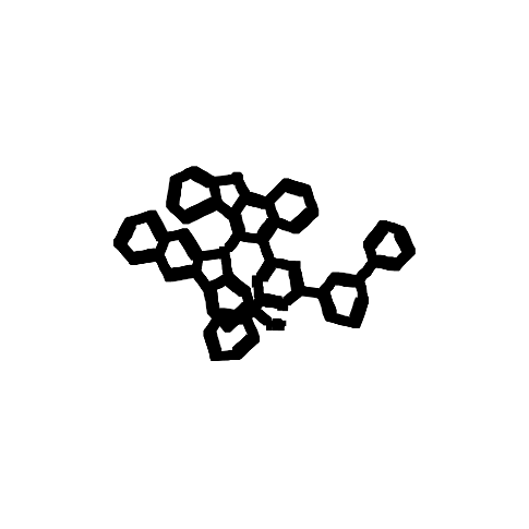 CCCc1ccc2c3cc4ccccc4cc3n(-c3c(-c4nc(-c5ccccc5)nc(-c5cccc(-c6ccccc6)c5)n4)c4ccccc4c4oc5ccccc5c34)c2c1